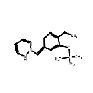 C[Si](C)(C)OC1=CC(=CN2C=CC=CN2)CC=C1CN